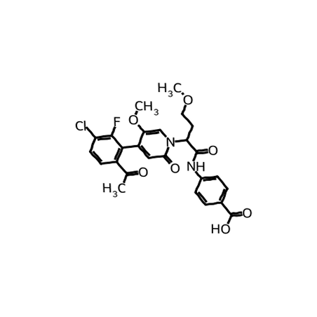 COCCC(C(=O)Nc1ccc(C(=O)O)cc1)n1cc(OC)c(-c2c(C(C)=O)ccc(Cl)c2F)cc1=O